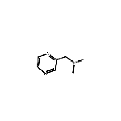 CN(C)Cc1[c]nccn1